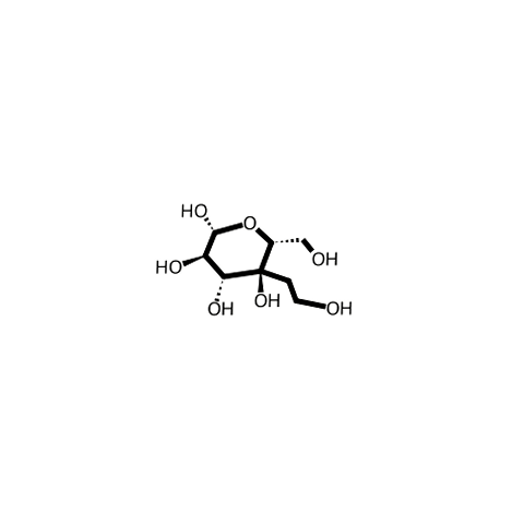 OCC[C@]1(O)[C@H](O)[C@@H](O)[C@H](O)O[C@@H]1CO